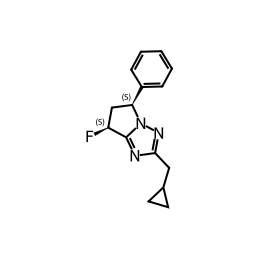 F[C@H]1C[C@@H](c2ccccc2)n2nc(CC3CC3)nc21